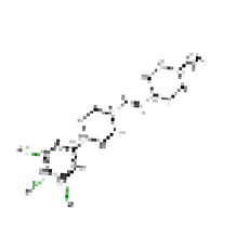 C[C@H]1CC[C@H](/C=C/[C@H]2CC[C@H](c3cc(F)c(F)c(F)c3)CC2)CC1